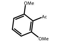 COc1cccc(OC)c1C(C)=O